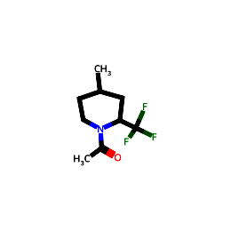 CC(=O)N1CCC(C)CC1C(F)(F)F